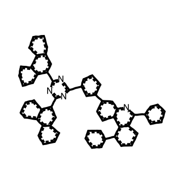 c1ccc(-c2nc3cc(-c4cccc(-c5nc(-c6cc7ccccc7c7ccccc67)nc(-c6cc7ccccc7c7ccccc67)n5)c4)ccc3c3c(-c4ccccc4)cccc23)cc1